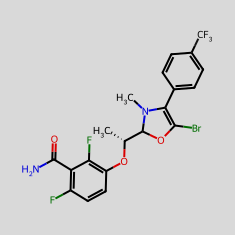 C[C@@H](Oc1ccc(F)c(C(N)=O)c1F)C1OC(Br)=C(c2ccc(C(F)(F)F)cc2)N1C